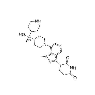 Cn1nc(C2CCC(=O)NC2=O)c2cccc(N3CCC([C@](C)(O)C4CCNCC4)CC3)c21